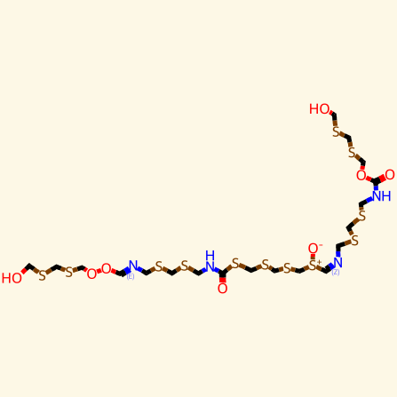 O=C(NCSCSC/N=C\[S+]([O-])CSCSCSC(=O)NCSCSC/N=C/OOCSCSCO)OCSCSCO